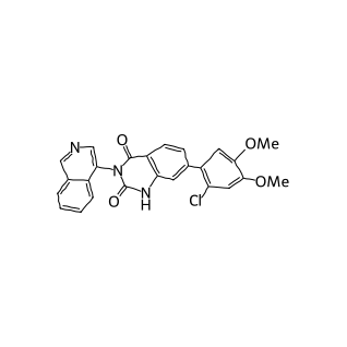 COc1cc(Cl)c(-c2ccc3c(=O)n(-c4cncc5ccccc45)c(=O)[nH]c3c2)cc1OC